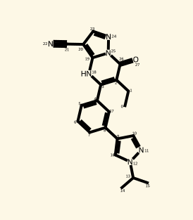 CCc1c(-c2cccc(-c3cnn(C(C)C)c3)c2)[nH]c2c(C#N)cnn2c1=O